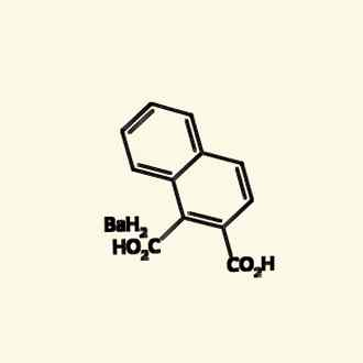 O=C(O)c1ccc2ccccc2c1C(=O)O.[BaH2]